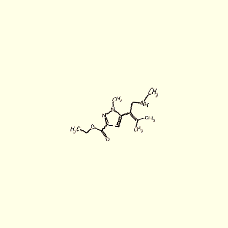 CCOC(=O)c1cc(C(CNC)=C(C)C)n(C)n1